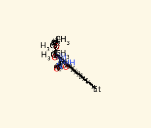 CCC=CCC=CCC=CCC=CCC=CCC=CCCC(=O)NCCN(CCNC(=O)C(C)(C)CCCOc1cc(C)ccc1C)CCN1CCOCC1